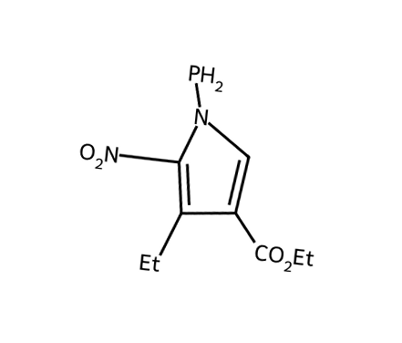 CCOC(=O)c1cn(P)c([N+](=O)[O-])c1CC